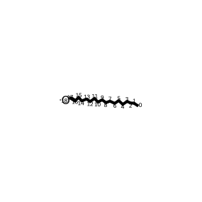 CCCCCCCCCCCCCCCC/C=C/[O]